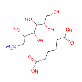 NCC(O)C(O)C(O)C(O)CO.O=C(O)CCCCC(=O)O